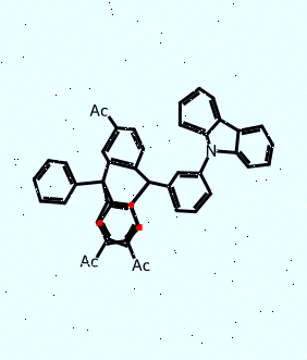 CC(=O)c1ccc2c(c1)C1(c3cccc(-n4c5ccccc5c5ccccc54)c3)c3ccc(C(C)=O)cc3C2(c2ccccc2)c2cc(C(C)=O)ccc21